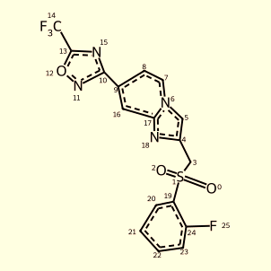 O=S(=O)(Cc1cn2ccc(-c3noc(C(F)(F)F)n3)cc2n1)c1ccccc1F